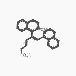 O=Cc1ccc2ccccc2c1C(=C\c1cccc2ccccc12)/C=C/CC(=O)O